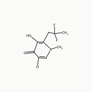 Cn1cc(Cl)c(=O)c(O)c1CC(C)(F)F